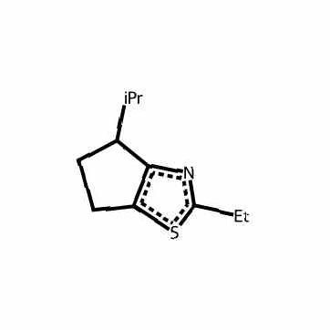 CCc1nc2c(s1)CCC2C(C)C